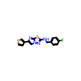 Fc1ccc(CNc2nn3cc(-c4ccsc4)nc3s2)cc1